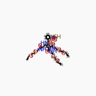 C#CCOCCOCCNC(=O)CCC(CCC(=O)NCCOCCOCC#C)(CCC(=O)NCCOCCOCC#C)NC(=O)c1ccccc1OP(C)(=O)S